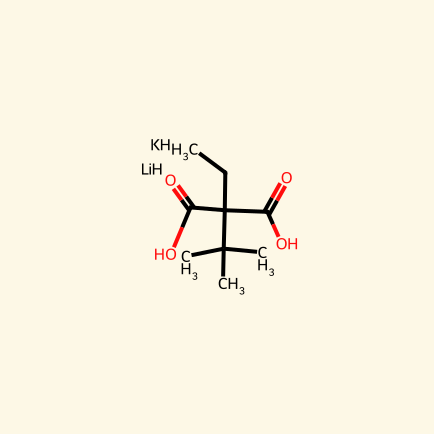 CCC(C(=O)O)(C(=O)O)C(C)(C)C.[KH].[LiH]